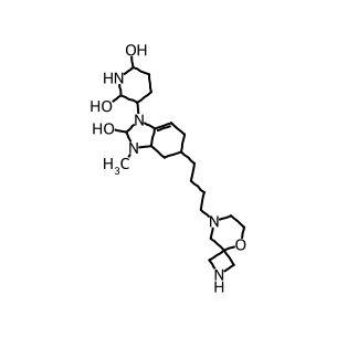 CN1C2CC(CCCCN3CCOC4(CNC4)C3)CC=C2N(C2CCC(O)NC2O)C1O